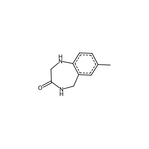 Cc1ccc2c(c1)CNC(=O)CN2